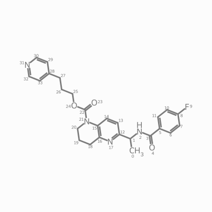 CC(NC(=O)c1ccc(F)cc1)c1ccc2c(n1)CCCN2C(=O)OCCCc1ccncc1